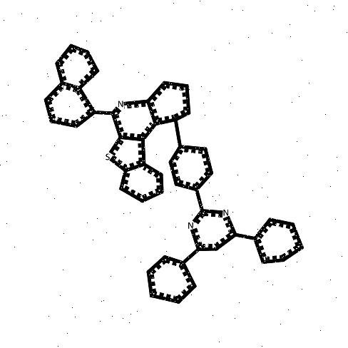 c1ccc(-c2cc(-c3ccccc3)nc(-c3ccc(-c4cccc5nc(-c6cccc7ccccc67)c6sc7ccccc7c6c45)cc3)n2)cc1